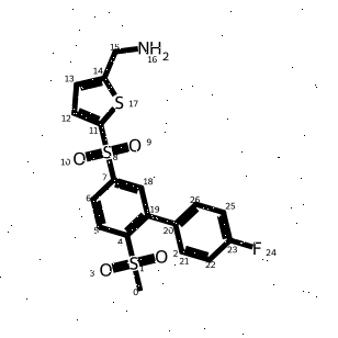 CS(=O)(=O)c1ccc(S(=O)(=O)c2ccc(CN)s2)cc1-c1ccc(F)cc1